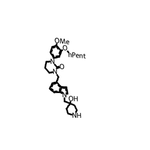 CCCCCOc1cc(N2CCCN(Cc3cccc4c3ccn4CC3(O)CCNCC3)C2=O)ccc1OC